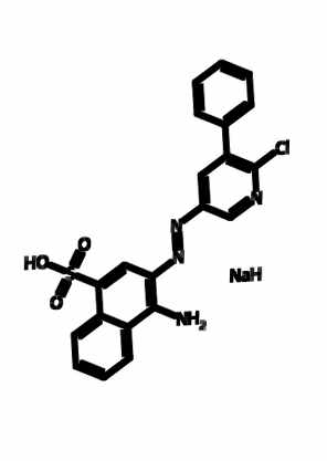 Nc1c(N=Nc2cnc(Cl)c(-c3ccccc3)c2)cc(S(=O)(=O)O)c2ccccc12.[NaH]